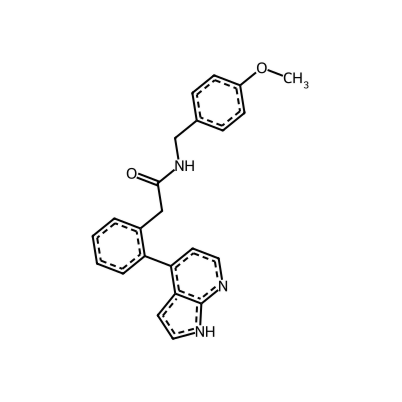 COc1ccc(CNC(=O)Cc2ccccc2-c2ccnc3[nH]ccc23)cc1